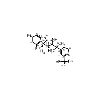 CC[C@](C)(NC(=N)C(C)(C)C1=CC(C(F)(F)F)=CCC1)c1ccc(F)cc1F